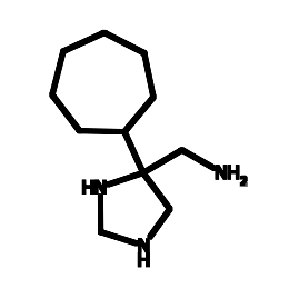 NCC1(C2CCCCCC2)CNCN1